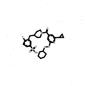 NS(=O)(=O)c1ccc(F)c(CC2CCN(C(=O)c3cc(OOC4CCCCC4)nc(C4CC4)c3)CC2)c1